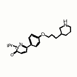 CC(C)n1nc(-c2ccc(OCCCC3CCCNC3)cc2)ccc1=O